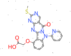 CSc1ncc2c(=O)n3c(nc2n1)c1c(OCC(=O)O)cccc1n3-c1ccccn1